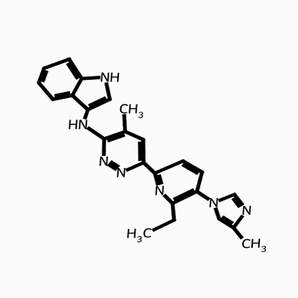 CCc1nc(-c2cc(C)c(Nc3c[nH]c4ccccc34)nn2)ccc1-n1cnc(C)c1